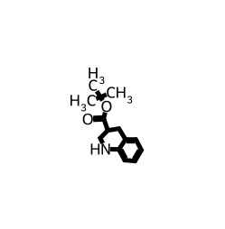 CC(C)(C)OC(=O)C1CNc2ccccc2C1